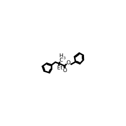 CCC(C)(Cc1ccccc1)C(=O)OCc1ccccc1